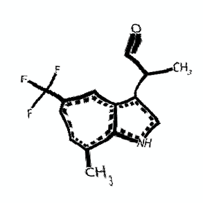 Cc1cc(C(F)(F)F)cc2c(C(C)C=O)c[nH]c12